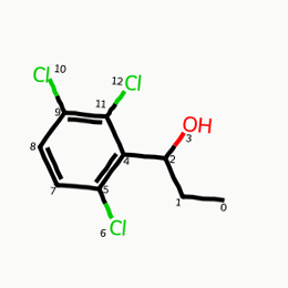 CCC(O)c1c(Cl)ccc(Cl)c1Cl